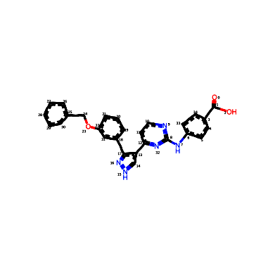 O=C(O)c1ccc(Nc2nccc(-c3c[nH]nc3-c3cccc(OCc4ccccc4)c3)n2)cc1